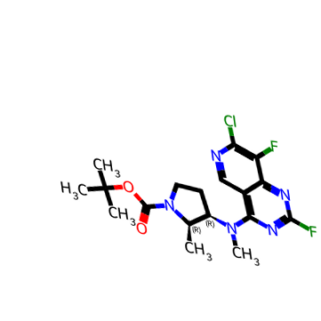 C[C@@H]1[C@H](N(C)c2nc(F)nc3c(F)c(Cl)ncc23)CCN1C(=O)OC(C)(C)C